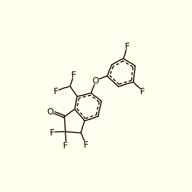 O=C1c2c(ccc(Oc3cc(F)cc(F)c3)c2C(F)F)C(F)C1(F)F